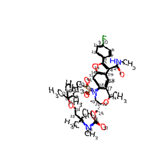 CNC(=O)c1c(-c2ccc(F)cc2)oc2cc3c(cc12)[C@H](C)O[C@H](COC(=O)N(C)C(C)(C)CCOC(C)(C)C)CN3S(C)(=O)=O